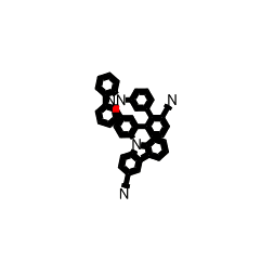 N#Cc1ccc(-n2c3ccccc3c3cc(C#N)ccc32)c(-c2cccc(C#N)c2-c2cccc(-n3c4ccccc4c4ccccc43)c2)c1